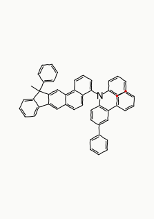 CC1(c2ccccc2)c2ccccc2-c2cc3ccc4c(N(c5ccccc5)c5ccc(-c6ccccc6)cc5-c5ccccc5)cccc4c3cc21